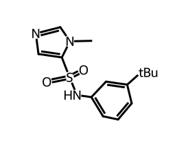 Cn1cncc1S(=O)(=O)Nc1cccc(C(C)(C)C)c1